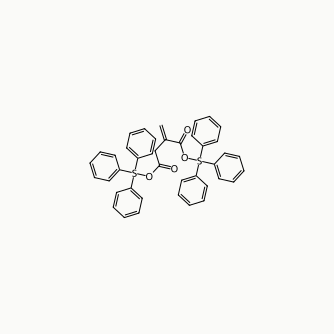 C=C(CC(=O)OS(c1ccccc1)(c1ccccc1)c1ccccc1)C(=O)OS(c1ccccc1)(c1ccccc1)c1ccccc1